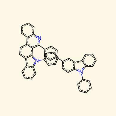 c1ccc(-n2c3ccccc3c3cc(-c4ccc(-c5nc6ccccc6c6ccc7c8ccccc8n(-c8ccccc8)c7c56)cc4)ccc32)cc1